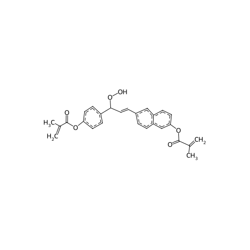 C=C(C)C(=O)Oc1ccc(C(/C=C/c2ccc3cc(OC(=O)C(=C)C)ccc3c2)OO)cc1